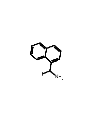 NC(I)c1cccc2ccccc12